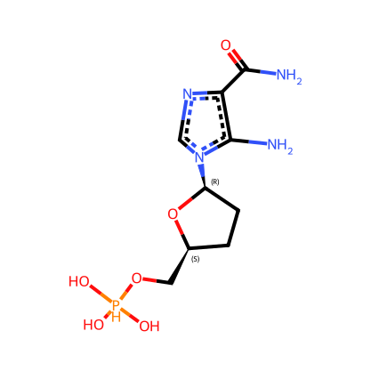 NC(=O)c1ncn([C@H]2CC[C@@H](CO[PH](O)(O)O)O2)c1N